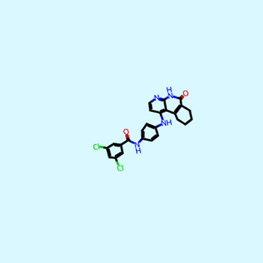 O=C(Nc1ccc(Nc2ccnc3[nH]c(=O)c4c(c23)CCCC4)cc1)c1cc(Cl)cc(Cl)c1